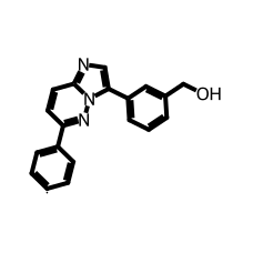 OCc1cccc(-c2cnc3ccc(-c4cc[c]cc4)nn23)c1